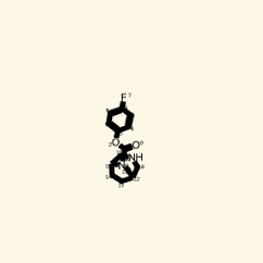 O=C(Oc1ccc(F)cc1)N1CC2CCC1CNC2